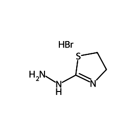 Br.NNC1=NCCS1